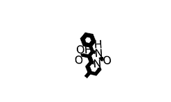 CC1=CC2=C(C(=O)O)C(c3ccccc3)NC(=O)N2CC1